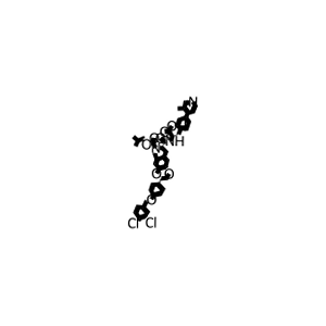 Cc1cnccc1-c1ccc(C[C@H](NC(=O)[C@@H]2Cc3cc4c(cc3CN2C(=O)OCC(C)C)O[C@@H](c2ccc(OCc3ccc(Cl)c(Cl)c3)cc2)CO4)C(=O)O)cc1